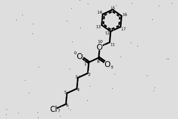 O=C(CCCCCCl)C(=O)OCc1ccccc1